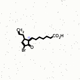 C=CCC1C=C(Br)C(=O)/C1=C\CCCCCC(=O)O